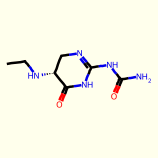 CCN[C@@H]1CN=C(NC(N)=O)NC1=O